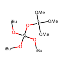 CCC(C)O[Si](OC(C)CC)(OC(C)CC)[O][Ti]([O]C)([O]C)[O]C